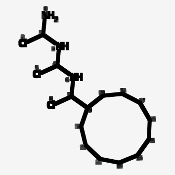 NC(Cl)NC(Cl)NC(Cl)C1CCCCCCCCCC1